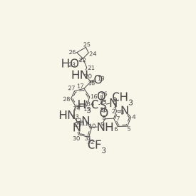 CN(c1ncccc1CNc1nc(Nc2ccc(C(=O)NCC3(O)CCC3)cc2)ncc1C(F)(F)F)S(C)(=O)=O